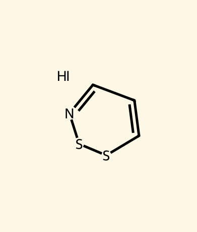 C1=CSSN=C1.I